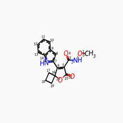 CONC(=O)C1=C(c2cc3ccccc3[nH]2)C2(CCC2)OC1=O